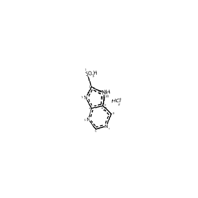 Cl.O=S(=O)(O)c1nc2ncncc2[nH]1